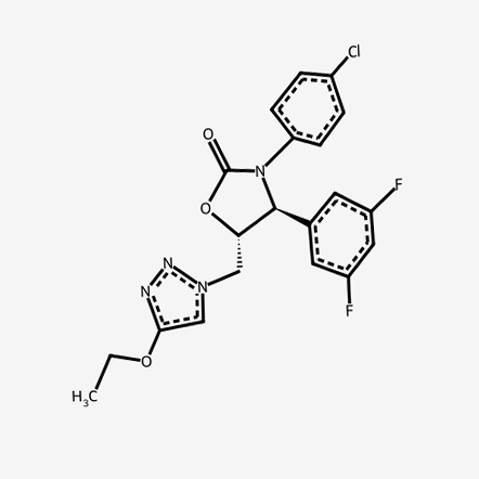 CCOc1cn(C[C@@H]2OC(=O)N(c3ccc(Cl)cc3)[C@H]2c2cc(F)cc(F)c2)nn1